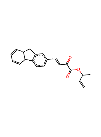 C=CC(C)OC(=O)C(=O)/C=C/c1ccc2c(c1)CC1C=CC=CC21